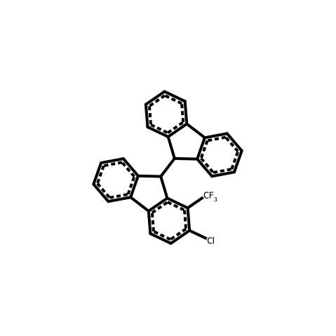 FC(F)(F)c1c(Cl)ccc2c1C(C1c3ccccc3-c3ccccc31)c1ccccc1-2